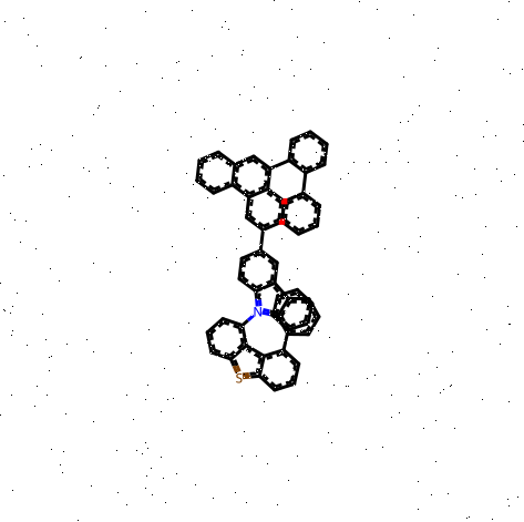 c1ccc(-c2ccccc2-c2cc3ccccc3c3cc(-c4ccc5c(c4)c4ccccc4n5-c4cccc5sc6cccc(-c7ccccc7)c6c45)ccc23)cc1